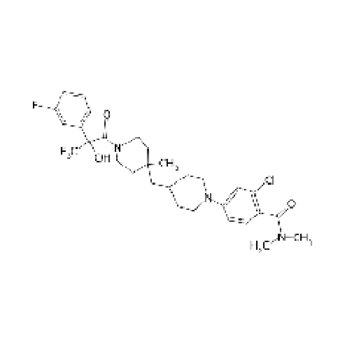 CN(C)C(=O)c1ccc(N2CCC(CC3(C)CCN(C(=O)C(O)(c4cccc(F)c4)C(F)(F)F)CC3)CC2)cc1Cl